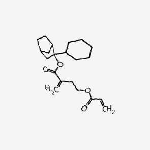 C=CC(=O)OCCC(=C)C(=O)OC1(C2CCCCC2)CC2CCC1C2